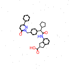 O=C(O)C1Cc2cccc(NC(=O)C(c3ccc(Cn4nc(-c5ccccc5)ccc4=O)cc3)C3CCCC3)c2C1